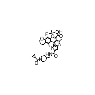 Cc1nc2cc(C(=O)NCC3CCN(C(=O)C4CC4)CC3)nn2c(-c2cc(F)c3c(c2C)CCCO3)c1[C@H](OC(C)(C)C)C(=O)O